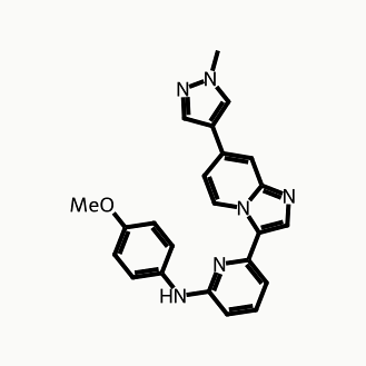 COc1ccc(Nc2cccc(-c3cnc4cc(-c5cnn(C)c5)ccn34)n2)cc1